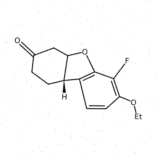 CCOc1ccc2c(c1F)OC1CC(=O)CC[C@@H]21